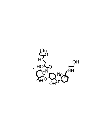 C[C@@H]1CO[C@H](O[C@@H]2[C@@H](O)[C@H](O[C@@H]3CCC=C(CNCCO)O3)[C@@H](N)C[C@H]2NC(=O)[C@H](O)CNC(=O)OC(C)(C)C)[C@H](O)C1